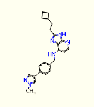 Cn1cc(-c2ccc(CNc3ccnc4[nH]c(CCC5CCC5)nc34)cc2)cn1